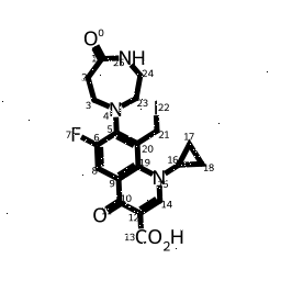 O=C1CCN(c2c(F)cc3c(=O)c(C(=O)O)cn(C4CC4)c3c2CI)CCN1